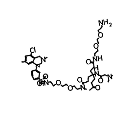 CC(=O)CCC(CCC(=O)NCCOCCOCCN)(CCC(=O)N(C)CCOCCOCCNS(=O)(=O)c1cccc([C@@H]2CN(C)Cc3c(Cl)cc(C)cc32)c1)NC(=O)CN(C)C